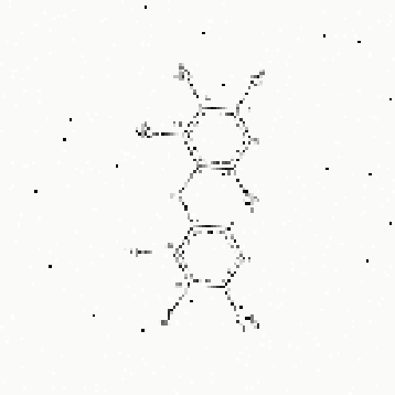 Cc1ccc(Cc2c(C#N)cc(O)c(O)c2C#N)c(F)c1F